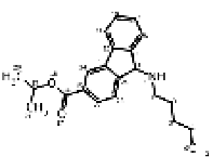 CCCCCNC1c2ccccc2-c2cc(C(=O)OC(C)C)ccc21